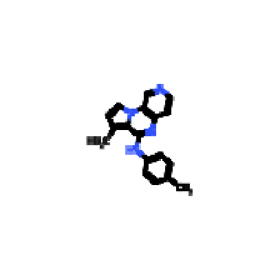 Cc1ccc(Nc2nc3ccncc3n3ccc(C(=O)O)c23)cc1